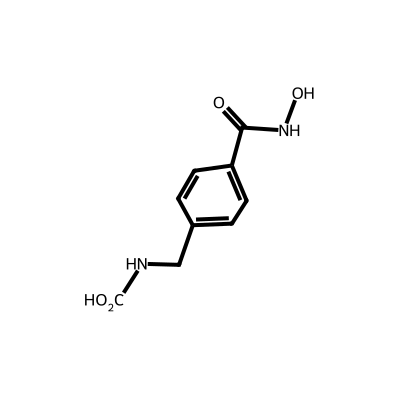 O=C(O)NCc1ccc(C(=O)NO)cc1